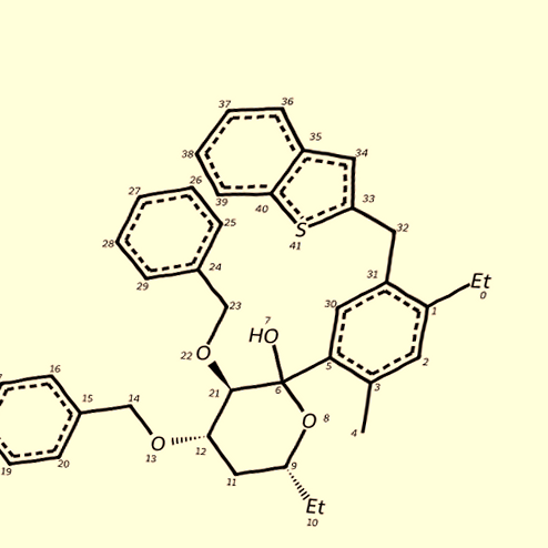 CCc1cc(C)c(C2(O)O[C@H](CC)C[C@H](OCc3ccccc3)[C@H]2OCc2ccccc2)cc1Cc1cc2ccccc2s1